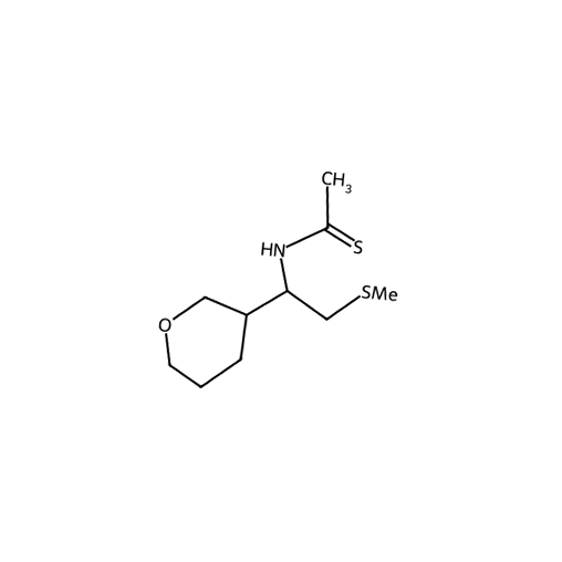 CSCC(NC(C)=S)C1CCCOC1